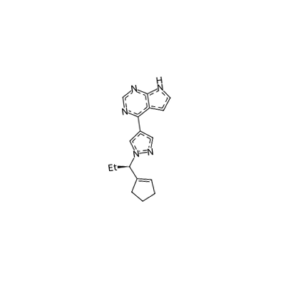 CC[C@H](C1=CCCC1)n1cc(-c2ncnc3[nH]ccc23)cn1